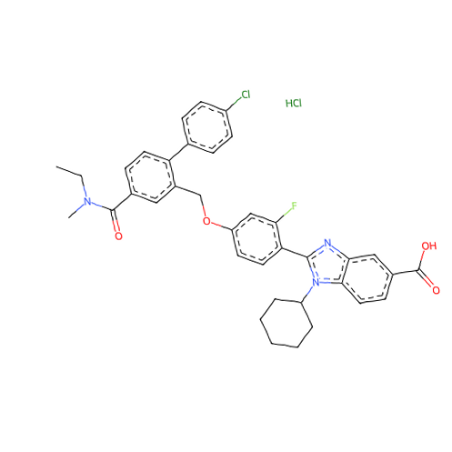 CCN(C)C(=O)c1ccc(-c2ccc(Cl)cc2)c(COc2ccc(-c3nc4cc(C(=O)O)ccc4n3C3CCCCC3)c(F)c2)c1.Cl